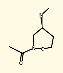 CN[C@H]1CCCN(C(C)=O)C1